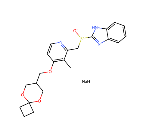 Cc1c(OCC2COC3(CCC3)OC2)ccnc1C[S+]([O-])c1nc2ccccc2[nH]1.[NaH]